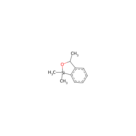 CC1O[Si](C)(C)c2ccccc21